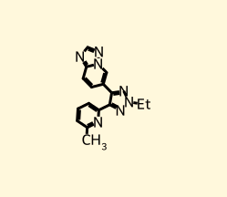 CCn1nc(-c2ccc3ncnn3c2)c(-c2cccc(C)n2)n1